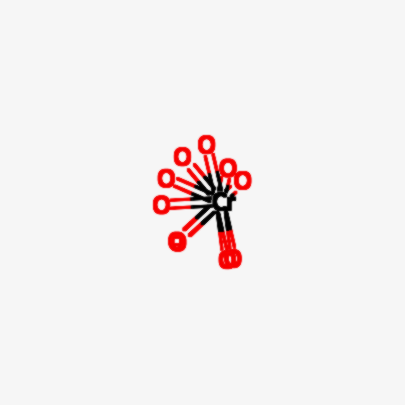 [O]=[Cr](=[O])(=[O])(=[O])(=[O])(=[O])(=[O])(=[O])(=[O])=[O]